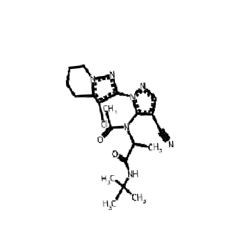 CC(=O)N(c1c(C#N)cnn1-c1nn2c(c1Cl)CCCC2)C(C)C(=O)NC(C)(C)C